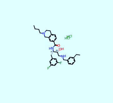 CCCCN1CCc2ccc(C(=O)N[C@@H](Cc3cc(F)cc(F)c3)[C@H](O)CNCc3cccc(CC)c3)cc2C1.Cl.Cl